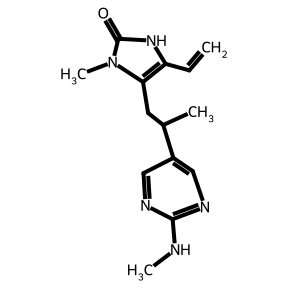 C=Cc1[nH]c(=O)n(C)c1CC(C)c1cnc(NC)nc1